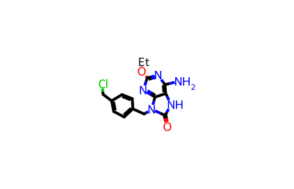 CCOc1nc(N)c2[nH]c(=O)n(Cc3ccc(CCl)cc3)c2n1